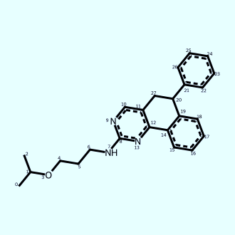 CC(C)OCCCNc1ncc2c(n1)-c1ccccc1C(c1ccccc1)C2